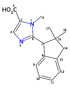 Cn1c(C(=O)O)cnc1C1c2ccccc2CC1(C)C